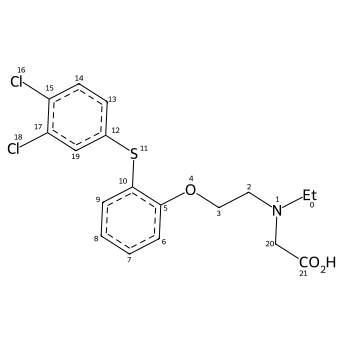 CCN(CCOc1ccccc1Sc1ccc(Cl)c(Cl)c1)CC(=O)O